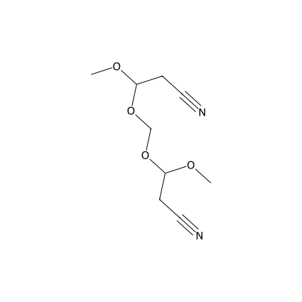 COC(CC#N)OCOC(CC#N)OC